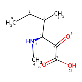 CCC(C)[C@H](NC)C(=O)C(=O)O